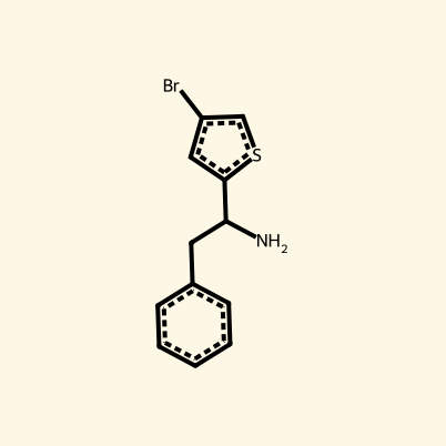 NC(Cc1ccccc1)c1cc(Br)cs1